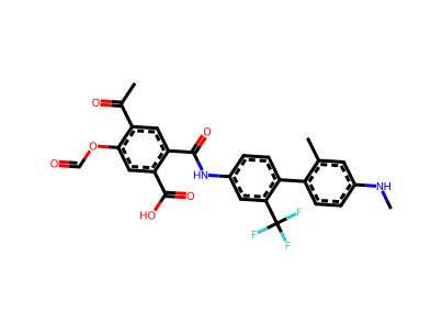 CNc1ccc(-c2ccc(NC(=O)c3cc(C(C)=O)c(OC=O)cc3C(=O)O)cc2C(F)(F)F)c(C)c1